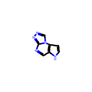 [c]1nnc2ncc3[nH]ccc3n12